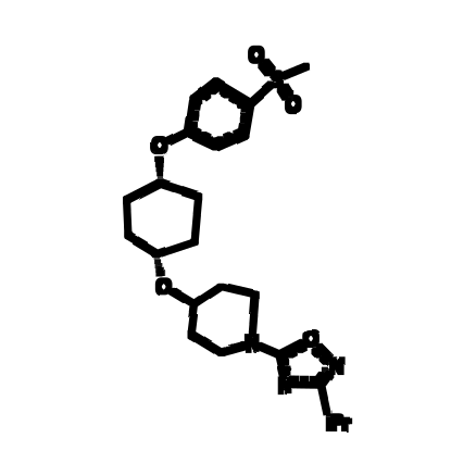 CC(C)c1noc(N2CCC(O[C@H]3CC[C@@H](Oc4ccc(S(C)(=O)=O)cc4)CC3)CC2)n1